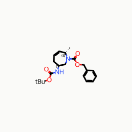 C[C@H]1C=CC[C@H](NC(=O)OC(C)(C)C)CN1C(=O)OCc1ccccc1